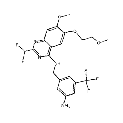 COCCOc1cc2c(NCc3cc(N)cc(C(F)(F)F)c3)nc(C(F)F)nc2cc1OC